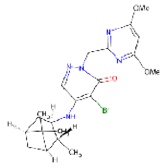 COc1cc(OC)nc(Cn2ncc(N[C@@H]3C[C@@H]4C[C@H]([C@H]3C)C4(C)C)c(Br)c2=O)n1